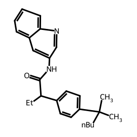 CCCCC(C)(C)c1ccc(C(CC)C(=O)Nc2cnc3ccccc3c2)cc1